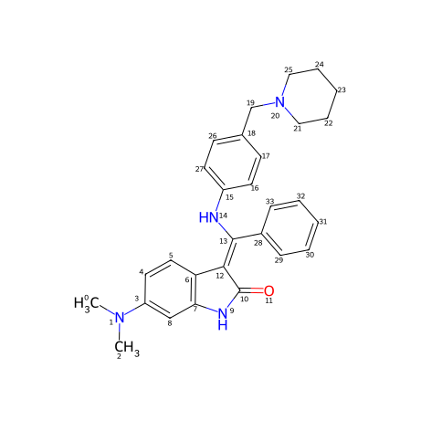 CN(C)c1ccc2c(c1)NC(=O)C2=C(Nc1ccc(CN2CCCCC2)cc1)c1ccccc1